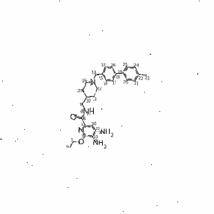 CCOc1nc(C(=O)NCC2CCN(Cc3ccc(-c4ccc(C)cc4)cc3)CC2)cc(N)c1N